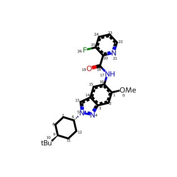 COc1cc2nn([C@H]3CC[C@H](C(C)(C)C)CC3)cc2cc1NC(=O)c1ncccc1F